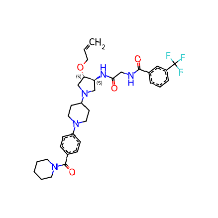 C=CCO[C@H]1CN(C2CCN(c3ccc(C(=O)N4CCCCC4)cc3)CC2)C[C@@H]1NC(=O)CNC(=O)c1cccc(C(F)(F)F)c1